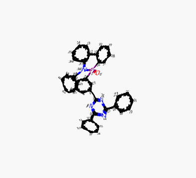 O=P1(c2cccc(-c3nc(-c4ccccc4)nc(-c4ccccc4)n3)c2)c2ccccc2-c2ccccc2N1c1ccccc1